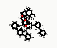 CC1CC(C)(C)c2cccc(-c3cccc(-n4c5ccccc5c5ccc6c7ccccc7n(-c7nc(-c8ccccc8)nc(-c8cccc(-c9ccccc9)c8)n7)c6c54)c3)c2C1(C)C